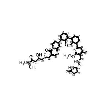 COc1nc(-c2cccc(-c3cccc(-c4ccn5c(=O)c(CNC[C@H](O)CC(=O)N(C)C)cnc5c4)c3Cl)c2Cl)cc(F)c1CNC[C@@H]1CCC(=O)N1